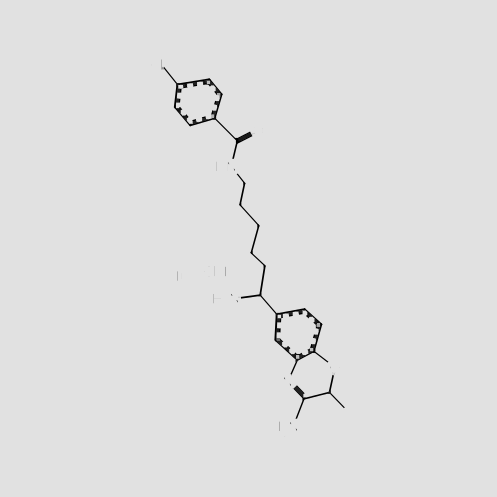 CC1Oc2ccc(C(N)CCCCCNC(=O)c3ccc(Cl)cc3)cc2N=C1N.Cl.Cl